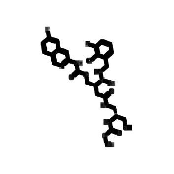 CC(=O)N(NCc1cccc(F)c1Cl)[C@H](COC(=O)Nc1cc2cc(F)ccc2cn1)CC(=O)NC[C@H](CO)NC(=O)OC(C)(C)C